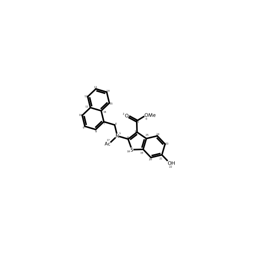 COC(=O)c1c(N(Cc2cccc3ccccc23)C(C)=O)sc2cc(O)ccc12